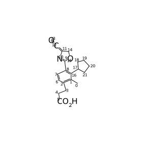 Cc1c(CCC(=O)O)ccc(C2=NC(=C=O)CO2)c1C1CCCC1